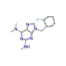 CNc1nc(N(C)C)c2ncn(Cc3ccccc3F)c2n1